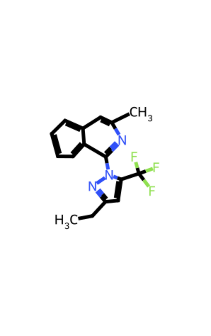 CCc1cc(C(F)(F)F)n(-c2nc(C)cc3ccccc23)n1